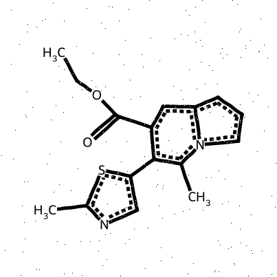 CCOC(=O)c1cc2cccn2c(C)c1-c1cnc(C)s1